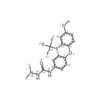 COc1ccc(Oc2ccc(NC(=O)NN(C)C)cc2)c(SC(F)(F)F)c1